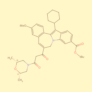 COc1ccc2c(c1)C=C(C(=O)CC(=O)N1C[C@@H](C)O[C@@H](C)C1)Cn1c-2c(C2CCCCC2)c2ccc(C(=O)OC(C)(C)C)cc21